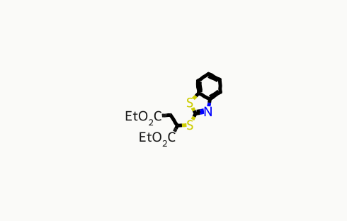 CCOC(=O)CC(Sc1nc2ccccc2s1)C(=O)OCC